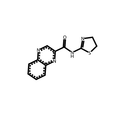 O=C(NC1=NCCS1)c1cnc2ccccc2n1